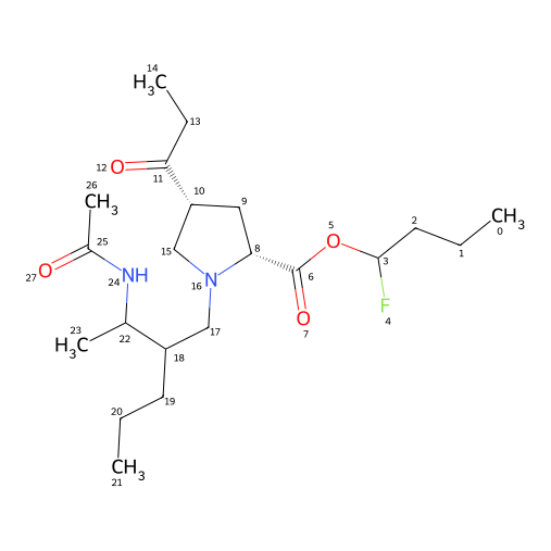 CCCC(F)OC(=O)[C@H]1C[C@@H](C(=O)CC)CN1CC(CCC)C(C)NC(C)=O